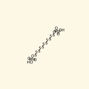 [O]=[Mo](=[O])([OH])[O]SSSSSSSSSSS[O][Mo](=[O])(=[O])[OH]